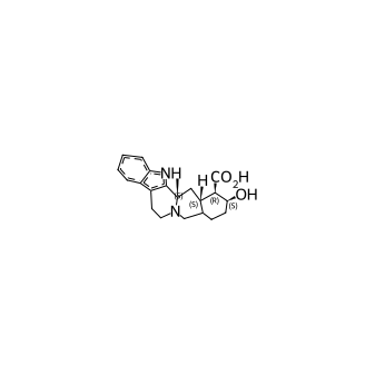 C[C@@]12C[C@H]3C(CC[C@H](O)[C@@H]3C(=O)O)CN1CCc1c2[nH]c2ccccc12